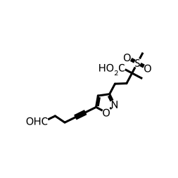 CC(CCc1cc(C#CCCC=O)on1)(C(=O)O)S(C)(=O)=O